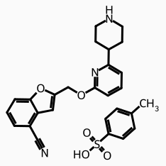 Cc1ccc(S(=O)(=O)O)cc1.N#Cc1cccc2oc(COc3cccc(C4CCNCC4)n3)cc12